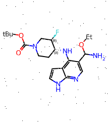 CCOC(N)c1cnc2[nH]ccc2c1N[C@@H]1CCN(C(=O)OC(C)(C)C)C[C@H]1F